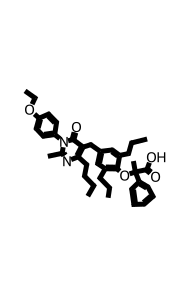 CCCCc1nc(C)n(-c2ccc(OCC)cc2)c(=O)c1Cc1cc(CCC)c(OC(C)(C(=O)O)c2ccccc2)c(CCC)c1